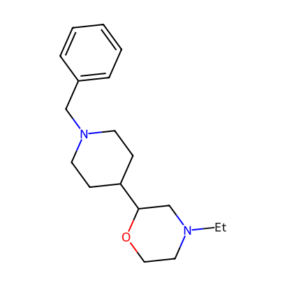 CCN1CCOC(C2CCN(Cc3ccccc3)CC2)C1